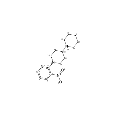 O=[N+]([O-])c1cccnc1N1CCC(N2CCCCC2)CC1